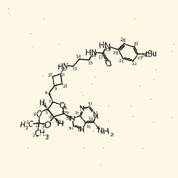 CC1(C)O[C@@H]2[C@H](O1)[C@@H](CC1CC(NCCCNC(=O)Nc3ccc(C(C)(C)C)cc3)C1)O[C@H]2n1cnc2c(N)ncnc21